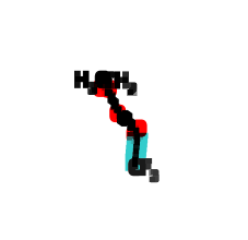 C=C(C)C(=O)OCCCCCCOc1ccc(/C=C/C(=O)OCC(F)(F)C(F)(F)C(F)(F)C(F)(F)C(F)(F)C(F)(F)C(F)(F)F)cc1